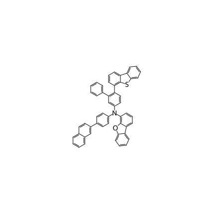 c1ccc(-c2cc(N(c3ccc(-c4ccc5ccccc5c4)cc3)c3cccc4c3oc3ccccc34)ccc2-c2cccc3c2sc2ccccc23)cc1